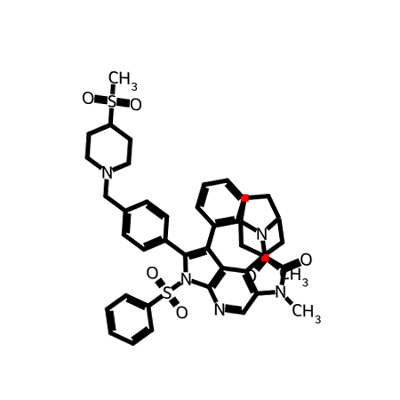 CC(=O)N1C2CCC1CC1(C2)C(=O)N(C)c2cnc3c(c(-c4ccccc4)c(-c4ccc(CN5CCC(S(C)(=O)=O)CC5)cc4)n3S(=O)(=O)c3ccccc3)c21